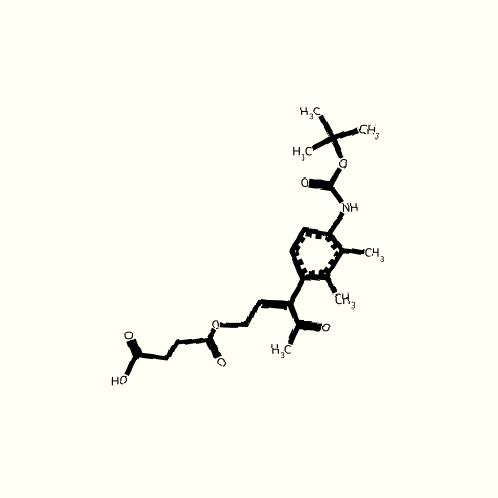 CC(=O)C(=CCOC(=O)CCC(=O)O)c1ccc(NC(=O)OC(C)(C)C)c(C)c1C